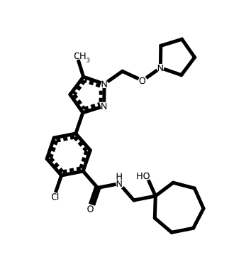 Cc1cc(-c2ccc(Cl)c(C(=O)NCC3(O)CCCCCC3)c2)nn1CON1CCCC1